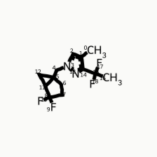 Cc1cn(CC23CCC(F)(F)C2C3)nc1C(C)(F)F